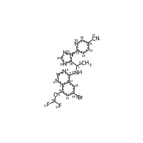 CC(Nc1ncnc2c(OC(F)F)cc(Br)cc12)c1ncnn1-c1ccc(C#N)cn1